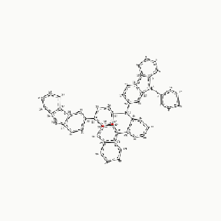 c1ccc(-n2c3ccccc3c3ccc(N(c4ccc(-c5ccc6sc7ccccc7c6c5)cc4)c4ccccc4-c4cccc5ccccc45)cc32)cc1